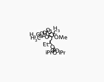 CCC(=CCc1c(OC)c(C)c2c(c1OCC[Si](C)(C)C)C(=O)OC2)COCP(=O)(OC(C)C)OC(C)C